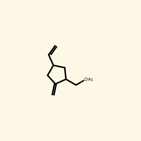 C=CC1CC(=C)C(COC(C)=O)C1